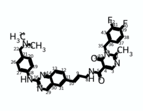 Cc1ncc(C(=O)NC/C=C/c2ccc3nc(Nc4ccc(CN(C)C)cc4)ncc3c2)c(=O)n1Cc1ccc(F)c(F)c1